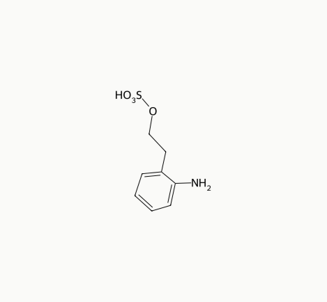 Nc1ccccc1CCOS(=O)(=O)O